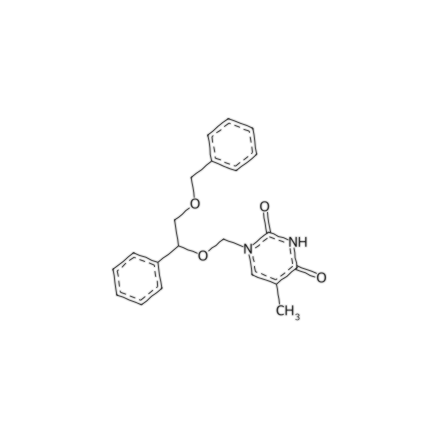 Cc1cn(COC(COCc2ccccc2)c2ccccc2)c(=O)[nH]c1=O